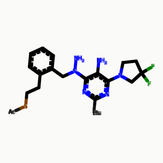 CC(=O)SCCc1ccccc1CN(N)c1nc(C(C)(C)C)nc(N2CCC(F)(F)C2)c1N